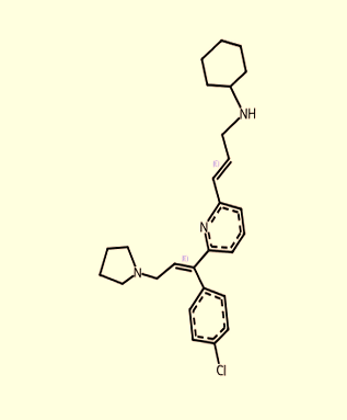 Clc1ccc(/C(=C\CN2CCCC2)c2cccc(/C=C/CNC3CCCCC3)n2)cc1